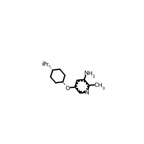 Cc1ncc(O[C@H]2CC[C@@H](C(C)C)CC2)cc1N